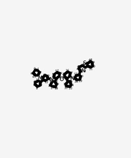 c1ccc(-n2c3ccccc3c3cc(-n4c5ccccc5c5c(Oc6cccc7c6c6ccccc6n7-c6cccc(-c7ccc8sc9ccccc9c8n7)c6)cccc54)ccc32)cc1